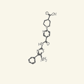 Nc1sc(NC(=O)c2ccc(N3CCC(C(=O)O)CC3)nc2)nc1-c1ccccc1